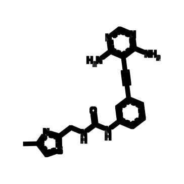 Cc1csc(CNC(=O)Nc2cccc(C#Cc3c(N)ncnc3N)c2)n1